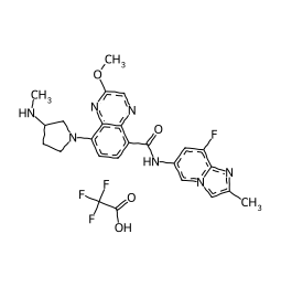 CNC1CCN(c2ccc(C(=O)Nc3cc(F)c4nc(C)cn4c3)c3ncc(OC)nc23)C1.O=C(O)C(F)(F)F